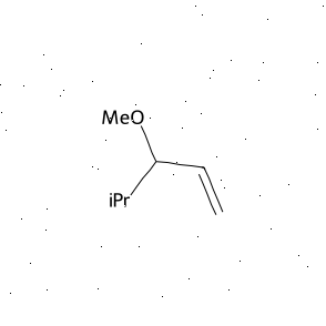 C=CC(OC)C(C)C